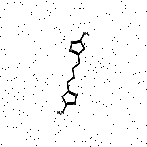 Nc1nnc(CCSCc2nnc(N)s2)s1